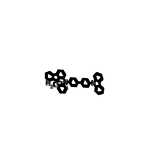 CC1(C)c2ccccc2-c2cccc(N(c3ccccc3)c3ccc(-c4ccc(-n5c6ccccc6c6ccccc65)cc4)cc3)c21